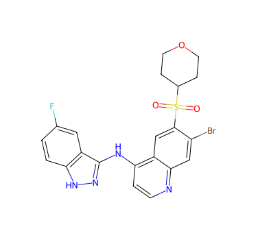 O=S(=O)(c1cc2c(Nc3n[nH]c4ccc(F)cc34)ccnc2cc1Br)C1CCOCC1